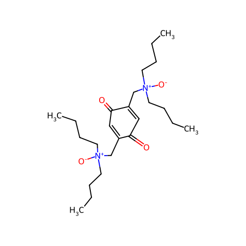 CCCC[N+]([O-])(CCCC)CC1=CC(=O)C(C[N+]([O-])(CCCC)CCCC)=CC1=O